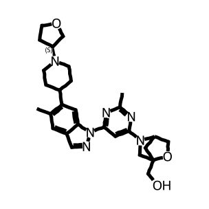 Cc1nc(N2CC3(CO)CC2CO3)cc(-n2ncc3cc(C)c(C4CCN([C@H]5CCOC5)CC4)cc32)n1